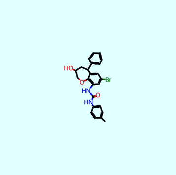 Cc1ccc(NC(=O)Nc2cc(Br)cc3c2OCC(O)CC3c2ccccc2)cc1